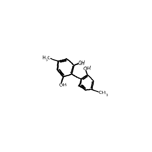 Cc1ccc(-c2c(O)cc(C)cc2O)c(O)c1